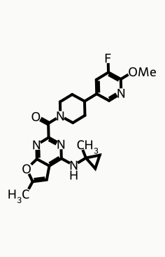 COc1ncc(C2CCN(C(=O)c3nc(NC4(C)CC4)c4cc(C)oc4n3)CC2)cc1F